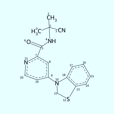 CC(C)(C#N)NC(=O)c1cc(N2CSc3ccccc32)ccn1